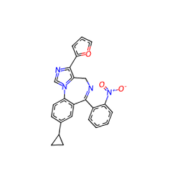 O=[N+]([O-])c1ccccc1C1=NCc2c(-c3ccco3)ncn2-c2ccc(C3CC3)cc21